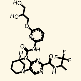 CC(NC(=O)c1ncc2c(n1)N(C(=O)Nc1cccc(OCC(O)CO)n1)[C@H]1CCCN2C1)C(F)(F)F